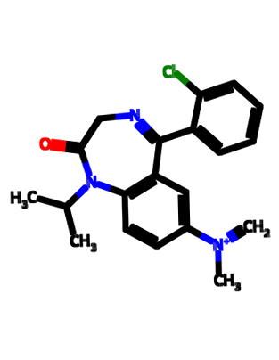 C=[N+](C)c1ccc2c(c1)C(c1ccccc1Cl)=NCC(=O)N2C(C)C